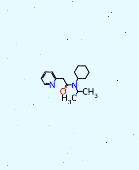 CC(C)N(C(=O)Cc1ccccn1)C1CCCCC1